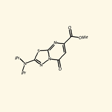 COC(=O)c1cc(=O)n2nc(N(C(C)C)C(C)C)sc2n1